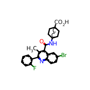 Cc1c(-c2ccccc2F)nc2ccc(Br)cc2c1C(=O)NC12CCC(C(=O)O)(CC1)CC2